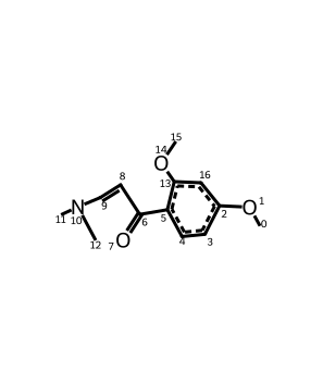 COc1ccc(C(=O)/C=C\N(C)C)c(OC)c1